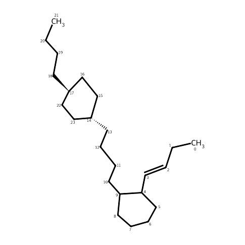 CCC=CC1CCCCC1CCCC[C@H]1CC[C@H](CCCC)CC1